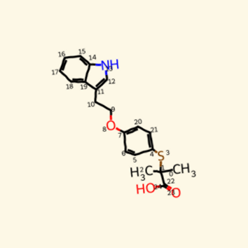 CC(C)(Sc1ccc(OCCc2c[nH]c3ccccc23)cc1)C(=O)O